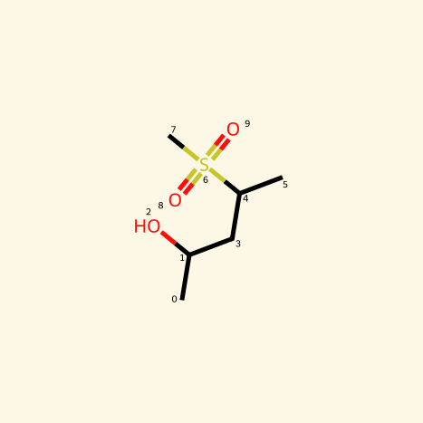 CC(O)CC(C)S(C)(=O)=O